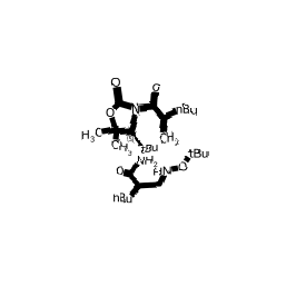 C=C(CCCC)C(=O)N1C(=O)OC(C)(C)[C@@H]1C(C)(C)C.CCCCC(CNOC(C)(C)C)C(N)=O